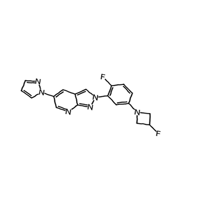 Fc1ccc(N2CC(F)C2)cc1-n1cc2cc(-n3cccn3)cnc2n1